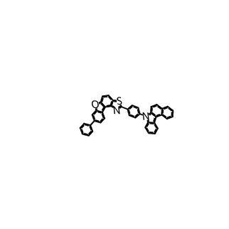 c1ccc(-c2ccc3c(c2)oc2ccc4sc(-c5ccc(-n6c7ccccc7c7c8ccccc8ccc76)cc5)nc4c23)cc1